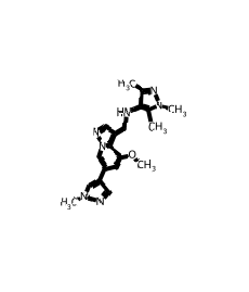 COc1cc(-c2cnn(C)c2)cn2ncc(CNc3c(C)nn(C)c3C)c12